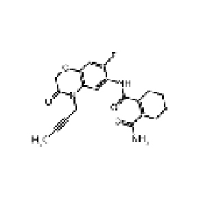 CC#CCN1C(=O)COc2cc(F)c(NC(=O)C3=C(C(N)=O)CCCC3)cc21